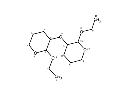 CCOC1OCCCC1OC1CCCOC1OCC